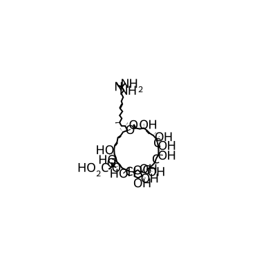 CN=C(N)NCCC/C=C/CCC[C@H](C)C[C@H](C)[C@H]1OC(=O)[C@H](C)[C@H](O)/C=C/[C@H](C)[C@H](O)C[C@H](O)[C@H](C)[C@@H](O)CC[C@H](C)[C@H](O)C[C@]2(O)O[C@H](C[C@@H](O)C[C@H](OC(=O)CC(=O)O)C[C@@H](O)[C@H](C)[C@H](O)/C=C/C=C/[C@@H]1C)C[C@H](O)[C@H]2O